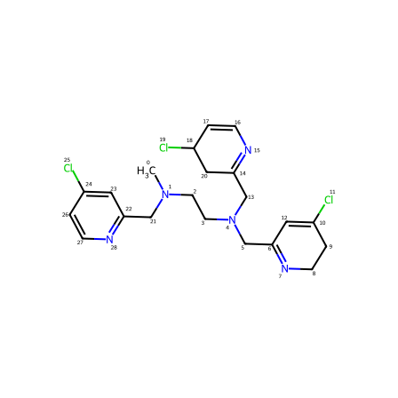 CN(CCN(CC1=NCCC(Cl)=C1)CC1=NC=CC(Cl)C1)Cc1cc(Cl)ccn1